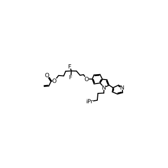 C=CC(=O)OCCCC(F)(F)CCCOc1ccc2cc(-c3cccnc3)n(CCCC(C)C)c2c1